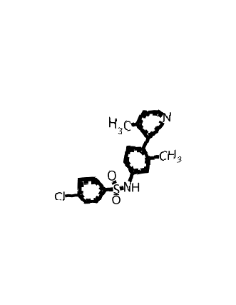 Cc1cc(NS(=O)(=O)c2ccc(Cl)cc2)ccc1-c1cnccc1C